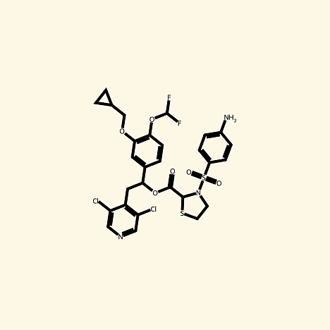 Nc1ccc(S(=O)(=O)N2CCSC2C(=O)OC(Cc2c(Cl)cncc2Cl)c2ccc(OC(F)F)c(OCC3CC3)c2)cc1